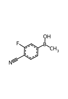 CB(O)c1ccc(C#N)c(F)c1